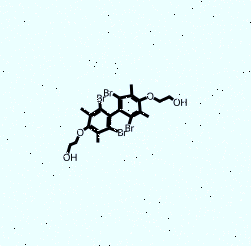 Cc1c(Br)c(-c2c(Br)c(C)c(OCCO)c(C)c2Br)c(Br)c(C)c1OCCO